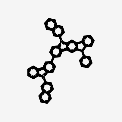 c1ccc(C2c3ccccc3-c3cc4c(cc32)c2cc(-c3ccc5c(c3)c3ccccc3n5-c3ccc5ccccc5c3)ccc2n4-c2ccc3ccccc3c2)cc1